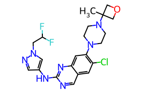 CC1(N2CCN(c3cc4nc(Nc5cnn(CC(F)F)c5)ncc4cc3Cl)CC2)COC1